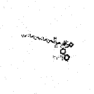 COCCOCCOCCOCCNC(=O)CN1C[C@]2(CC[C@](c3ccccc3)(N(C)C)CC2)N(CC2(O)CCC2)C1=O